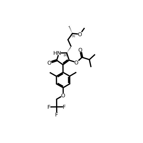 CO[C@@H](C)CC[C@H]1NC(=O)C(c2c(C)cc(OCC(F)(F)F)cc2C)=C1OC(=O)C(C)C